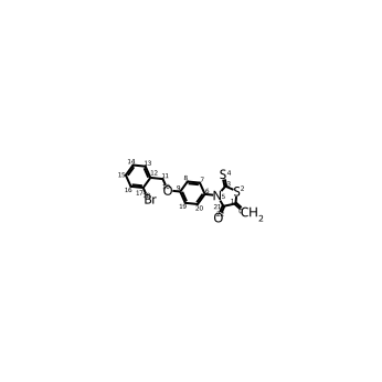 C=C1SC(=S)N(c2ccc(OCc3ccccc3Br)cc2)C1=O